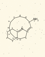 NC1/C=C(\N=C2CCCCC2)CCCCCCCCC1